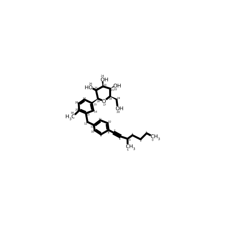 CCCCC(C)C#Cc1ccc(Cc2cc([C@@H]3O[C@H](CO)[C@@H](O)[C@H](O)C3O)ccc2C)cc1